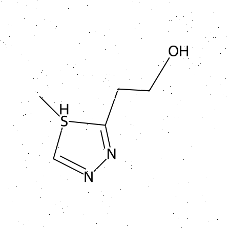 C[SH]1C=NN=C1CCO